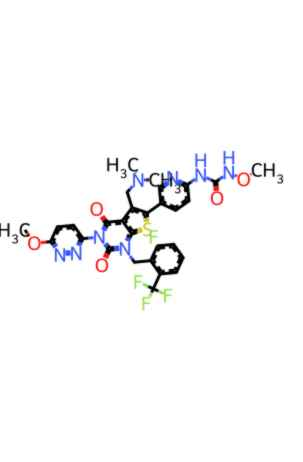 CONC(=O)Nc1ccc(-c2sc3c(c2CN(C)C)c(=O)n(-c2ccc(OC)nn2)c(=O)n3Cc2c(F)cccc2C(F)(F)F)cn1